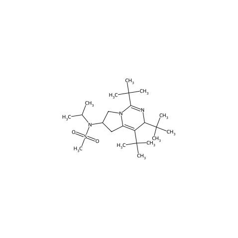 CC(C)N(C1CC2=C(C(C)(C)C)C(C(C)(C)C)N=C(C(C)(C)C)N2C1)S(C)(=O)=O